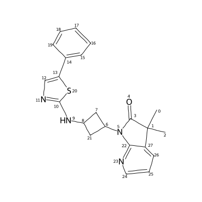 CC1(C)C(=O)N(C2CC(Nc3ncc(-c4ccccc4)s3)C2)c2ncccc21